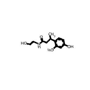 CC(CC(=O)NCCO)c1ccc(O)cc1O